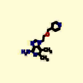 Cc1nc(N)c2ncn(CCOCc3ccncc3)c2c1C